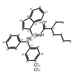 CCCCC(CC)C(=O)[NH][Ti+2]([CH]1C=Cc2ccccc21)[SiH](c1ccccc1)c1ccccc1.[Cl-].[Cl-]